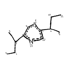 CCC(C)c1cnc(C(C)CC)cn1